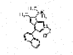 CC1=Cc2c(-c3cccc4ccccc34)cccc2C1[SiH](C)C.[Cl][Zr][Cl]